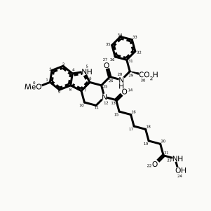 COc1ccc2[nH]c3c(c2c1)CCN(C(=O)CCCCCCC(=O)NO)C3C(=O)N[C@H](C(=O)O)c1ccccc1